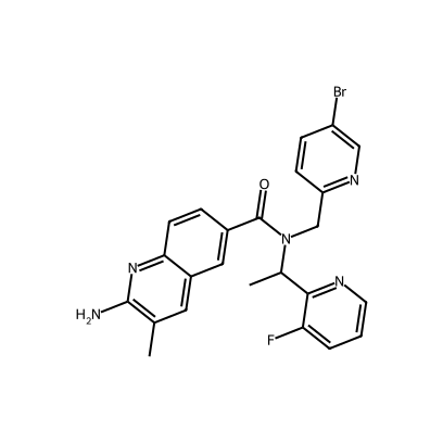 Cc1cc2cc(C(=O)N(Cc3ccc(Br)cn3)C(C)c3ncccc3F)ccc2nc1N